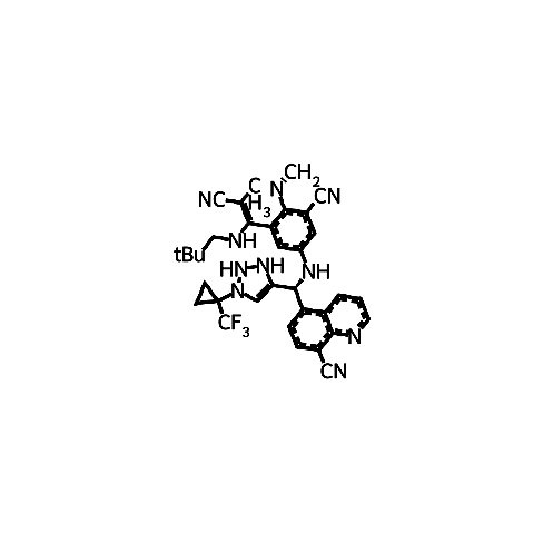 C=Nc1c(C#N)cc(N[C@H](C2=CN(C3(C(F)(F)F)CC3)NN2)c2ccc(C#N)c3ncccc23)cc1/C(NCC(C)(C)C)=C(\C)C#N